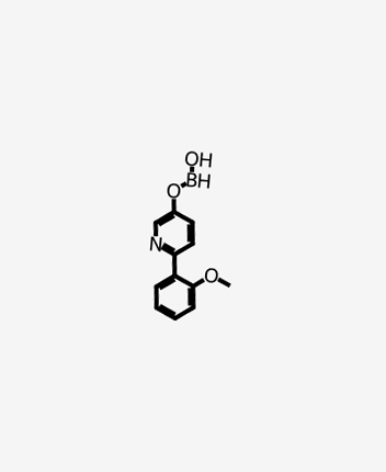 COc1ccccc1-c1ccc(OBO)cn1